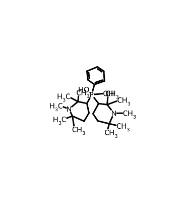 CN1C(C)(C)CCC(P(O)(O)(c2ccccc2)C2CCC(C)(C)N(C)C2(C)C)C1(C)C